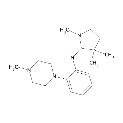 CN1CCN(c2ccccc2/N=C2/N(C)CCC2(C)C)CC1